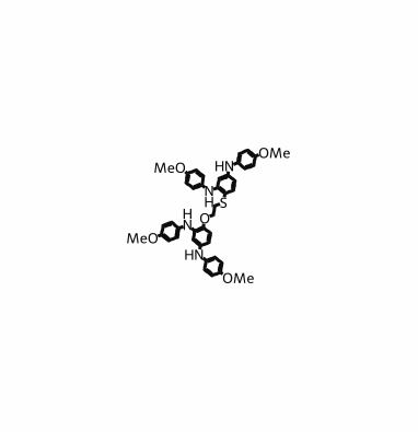 COc1ccc(Nc2ccc(OCCSc3ccc(Nc4ccc(OC)cc4)cc3Nc3ccc(OC)cc3)c(Nc3ccc(OC)cc3)c2)cc1